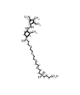 CCN(CCOCCOCCOCCOCC[N+](CC)(CC)CCCS(=O)(=O)O)c1ccc(NNc2sc([N+](=O)[O-])c(C)c2[N+](=O)[O-])c(C)c1